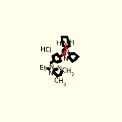 CCc1nc2c(C)cc(C)nc2n1Cc1ccc(/C=C/CN2[C@@H]3CC[C@H]2CC(n2cnc4ccccc42)C3)cc1.Cl